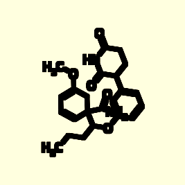 CCCC(Oc1cccc(C2CCC(=O)NC2=O)c1)C1(C(N)=O)C=CC=C(OC)C1